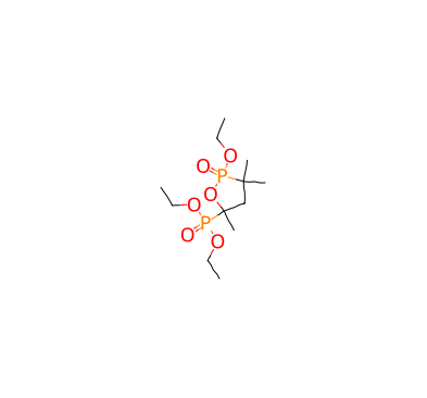 CCOP1(=O)OC(C)(P(=O)(OCC)OCC)CC1(C)C